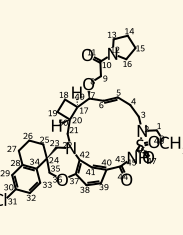 CCN1CC/C=C/[C@H](OCC(=O)N2CCCC2)[C@@H]2CC[C@H]2CN2C[C@@]3(CCCc4cc(Cl)ccc43)COc3ccc(cc32)C(=O)NS1(=O)=O